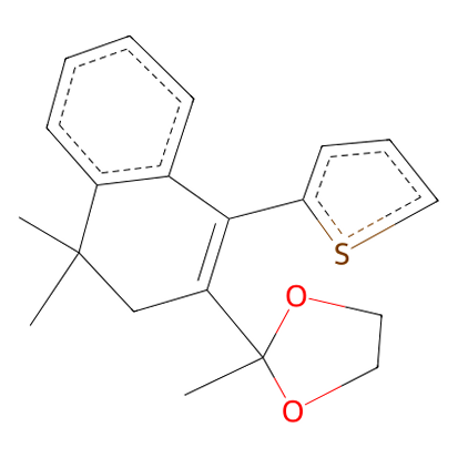 CC1(C2=C(c3cccs3)c3ccccc3C(C)(C)C2)OCCO1